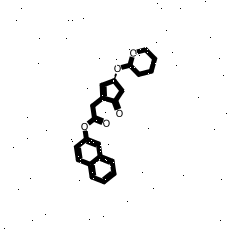 O=C(CC1=C[C@H](OC2CCCCO2)CC1=O)Oc1ccc2ccccc2c1